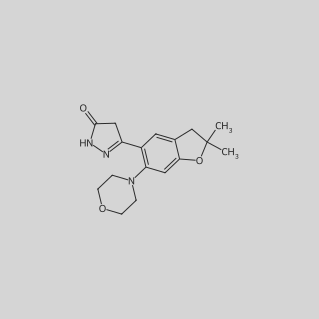 CC1(C)Cc2cc(C3=NNC(=O)C3)c(N3CCOCC3)cc2O1